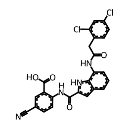 N#Cc1ccc(NC(=O)c2cc3cccc(NC(=O)Cc4ccc(Cl)cc4Cl)c3[nH]2)c(C(=O)O)c1